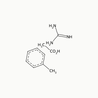 CC(=O)O.Cc1ccccc1.N=C(N)N